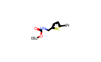 CC(C)c1ccc(CNC(=O)OC(C)(C)C)s1